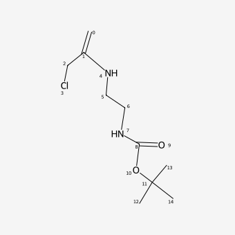 C=C(CCl)NCCNC(=O)OC(C)(C)C